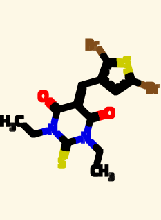 CCN1C(=O)C(=Cc2cc(Br)sc2Br)C(=O)N(CC)C1=S